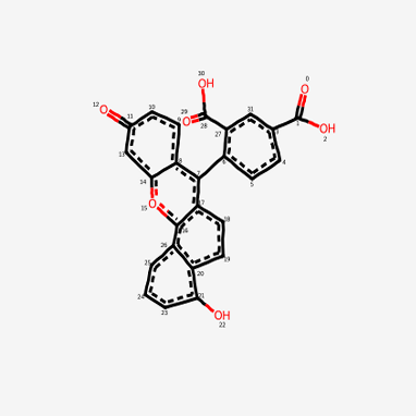 O=C(O)c1ccc(-c2c3ccc(=O)cc-3oc3c2ccc2c(O)cccc23)c(C(=O)O)c1